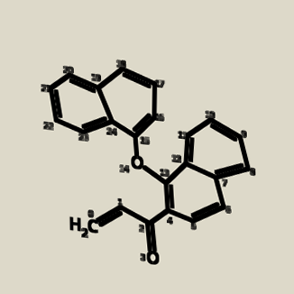 C=CC(=O)c1ccc2ccccc2c1Oc1cccc2ccccc12